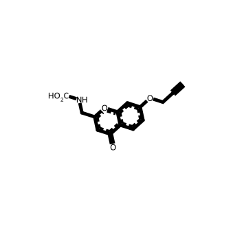 C#CCOc1ccc2c(=O)cc(CNC(=O)O)oc2c1